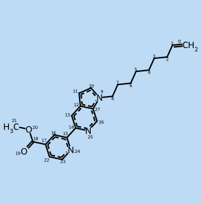 C=CCCCCCCCn1ccc2cc(-c3cc(C(=O)OC)ccn3)ncc21